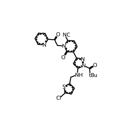 CC(C)(C)C(=O)n1nc(-c2ccc(C#N)n(CC(=O)c3ccccn3)c2=O)cc1NCc1ccc(Cl)s1